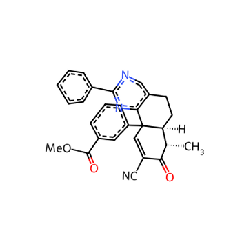 COC(=O)c1cccc(C23C=C(C#N)C(=O)[C@@H](C)[C@@H]2CCc2cnc(-c4ccccc4)nc23)c1